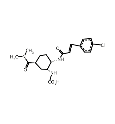 CN(C)C(=O)[C@H]1CC[C@H](NC(=O)/C=C/c2ccc(Cl)cc2)[C@H](NC(=O)O)C1